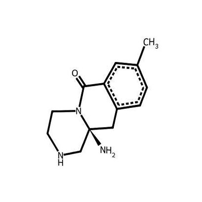 Cc1ccc2c(c1)C(=O)N1CCNC[C@@]1(N)C2